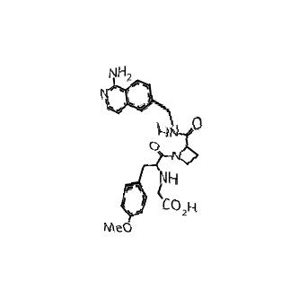 COc1ccc(CC(NCC(=O)O)C(=O)N2CCC2C(=O)NCc2ccc3c(N)nccc3c2)cc1